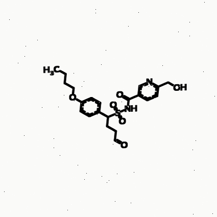 CCCCOc1ccc(C(CCC=O)S(=O)(=O)NC(=O)c2ccc(CO)nc2)cc1